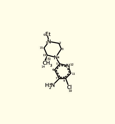 CCN1CCN(c2cc(N)c(Cl)cn2)[C@@H](C)C1